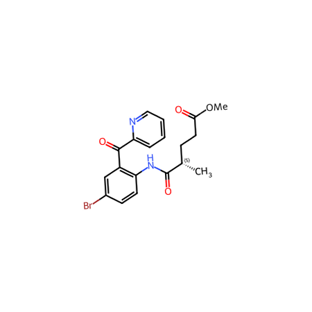 COC(=O)CC[C@H](C)C(=O)Nc1ccc(Br)cc1C(=O)c1ccccn1